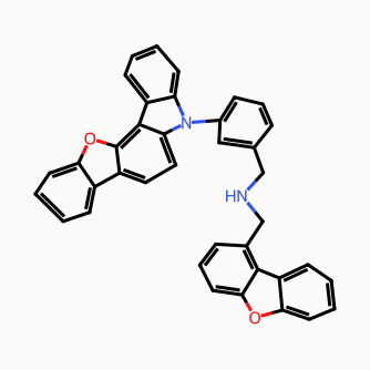 c1cc(CNCc2cccc3oc4ccccc4c23)cc(-n2c3ccccc3c3c4oc5ccccc5c4ccc32)c1